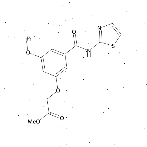 COC(=O)COc1cc(OC(C)C)cc(C(=O)Nc2nccs2)c1